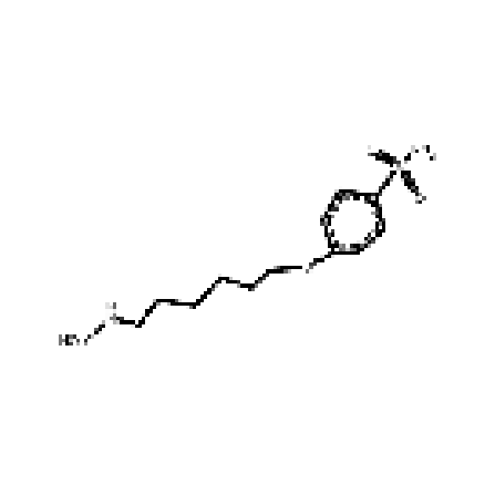 NS(=O)(=O)c1ccc(OCCCCCCNC(=O)O)cc1